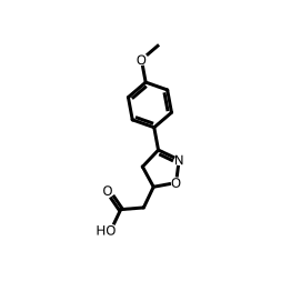 COc1ccc(C2=NOC(CC(=O)O)C2)cc1